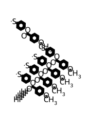 COc1ccc(C(=O)Oc2ccc([S])cc2)cc1.COc1ccc(C(=O)Oc2ccc([S])cc2)cc1.COc1ccc(C(=O)Oc2ccc([S])cc2)cc1.COc1ccc(C(=O)Oc2ccc([S])cc2)cc1.COc1ccc(C(=O)Oc2ccc([S])cc2)cc1.F.F.F.F.F